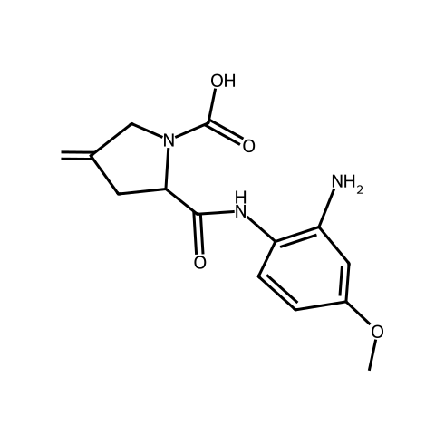 C=C1CC(C(=O)Nc2ccc(OC)cc2N)N(C(=O)O)C1